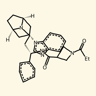 CCC(=O)N1CC(C(=O)N[C@@H](CCN2[C@@H]3CC[C@H]2C[C@H](n2cnc4ccccc42)C3)c2ccccc2)C1